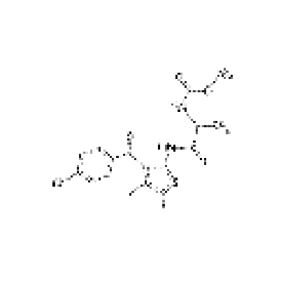 Cc1sc(NC(=O)C(NC(=O)OC(C)(C)C)C(F)(F)F)c(C(=O)c2ccc(Cl)cc2)c1C